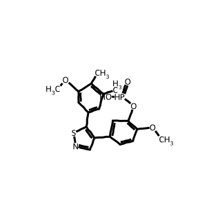 COc1ccc(-c2cnsc2-c2cc(C)c(C)c(OC)c2)cc1O[PH](=O)O